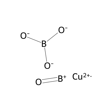 [B+]=O.[Cu+2].[O-]B([O-])[O-]